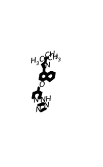 CC(C)(C)C1=NC(c2ccc(OCc3ccnc(Nc4cnccn4)c3)c3ccccc23)=C1